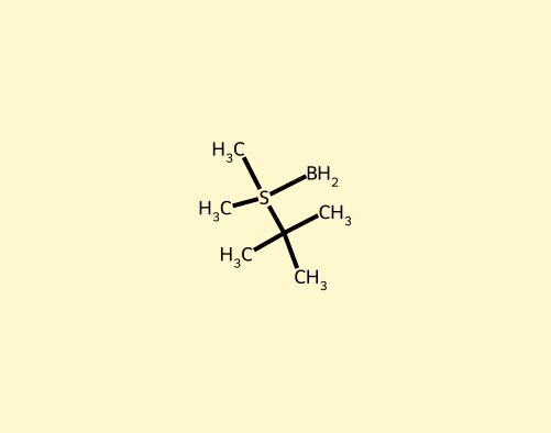 BS(C)(C)C(C)(C)C